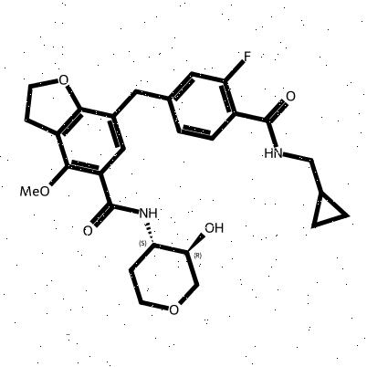 COc1c(C(=O)N[C@H]2CCOC[C@@H]2O)cc(Cc2ccc(C(=O)NCC3CC3)c(F)c2)c2c1CCO2